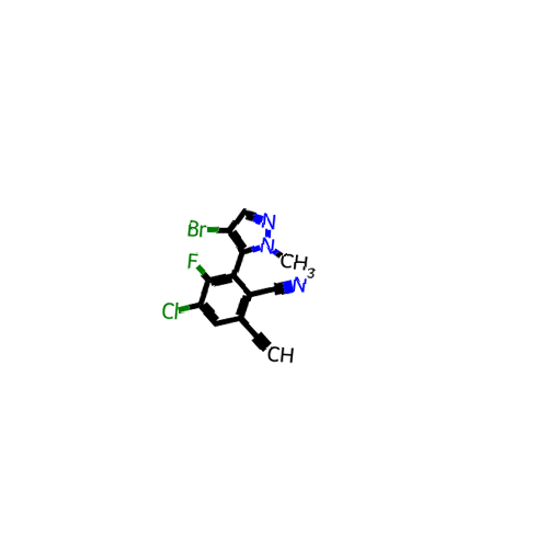 C#Cc1cc(Cl)c(F)c(-c2c(Br)cnn2C)c1C#N